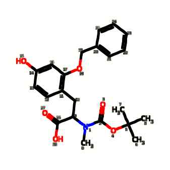 CN(C(=O)OC(C)(C)C)C(Cc1ccc(O)cc1OCc1ccccc1)C(=O)O